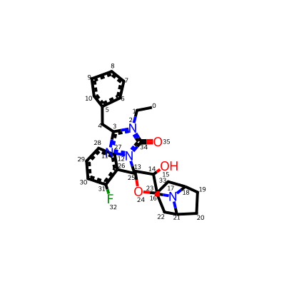 CCn1c(Cc2ccccc2)nn(CC(O)CN2C3CCC2CC(OCc2ccccc2F)C3)c1=O